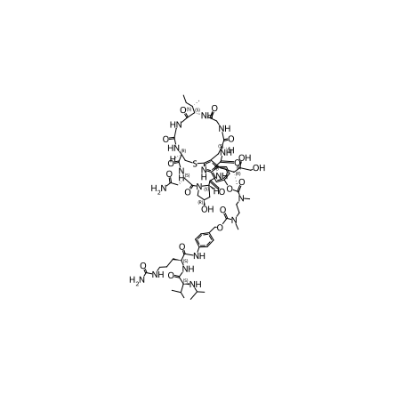 CC[C@H](C)[C@@H]1NC(=O)CNC(=O)[C@@H]2Cc3c([nH]c4cc(OC(=O)N(C)CCN(C)C(=O)OCc5ccc(NC(=O)[C@H](CCCNC(N)=O)NC(=O)[C@@H](NC(C)C)C(C)C)cc5)ccc34)SC[C@H](NC(=O)CNC1=O)C(=O)N[C@@H](CC(N)=O)C(=O)N1C[C@H](O)C[C@H]1C(=O)N[C@@H]([C@@H](C)[C@@H](O)CO)C(=O)N2